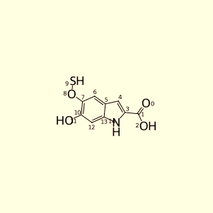 O=C(O)c1cc2cc(OS)c(O)cc2[nH]1